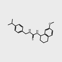 COc1ccc2c(c1)C(NC(=S)NCc1ccc(C(C)C)cc1)CCC2